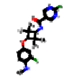 CNc1ccc(O[C@H]2C(C)(C)[C@H](NC(=O)c3cnc(Cl)nc3)C2(C)C)cc1Cl